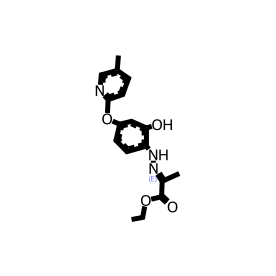 CCOC(=O)/C(C)=N/Nc1ccc(Oc2ccc(C)cn2)cc1O